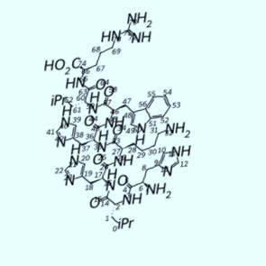 CC(C)C[C@@H](NC(=O)[C@H](N)Cc1c[nH]cn1)C(=O)N[C@@H](Cc1c[nH]cn1)C(=O)N[C@H](CCCCN)C(=O)N[C@@H](Cc1c[nH]cn1)C(=O)N[C@H](Cc1c[nH]c2ccccc12)C(=O)N[C@H](CC(C)C)C(=O)N[C@H](CCCNC(=N)N)C(=O)O